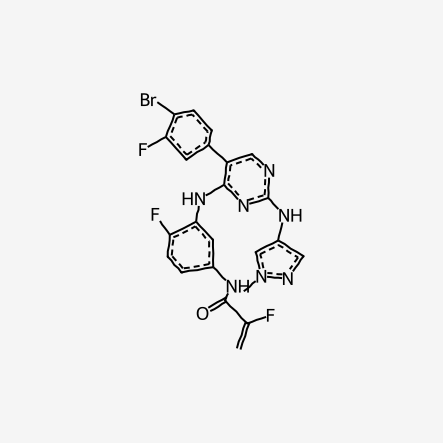 C=C(F)C(=O)Nc1ccc(F)c(Nc2nc(Nc3cnn(C)c3)ncc2-c2ccc(Br)c(F)c2)c1